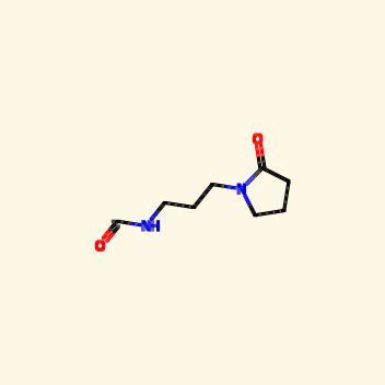 O=[C]NCCCN1CCCC1=O